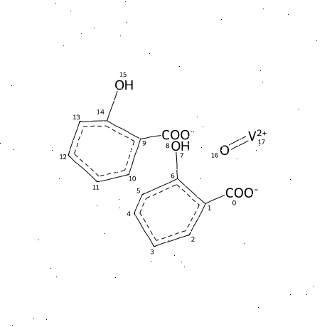 O=C([O-])c1ccccc1O.O=C([O-])c1ccccc1O.[O]=[V+2]